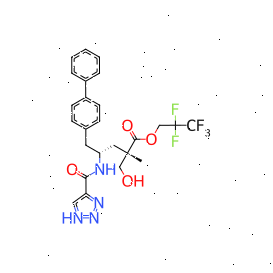 C[C@@](CO)(C[C@@H](Cc1ccc(-c2ccccc2)cc1)NC(=O)c1c[nH]nn1)C(=O)OCC(F)(F)C(F)(F)F